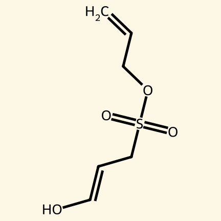 C=CCOS(=O)(=O)CC=CO